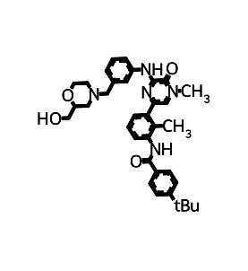 Cc1c(NC(=O)c2ccc(C(C)(C)C)cc2)cccc1-c1cn(C)c(=O)c(Nc2cccc(CN3CCOC(CO)C3)c2)n1